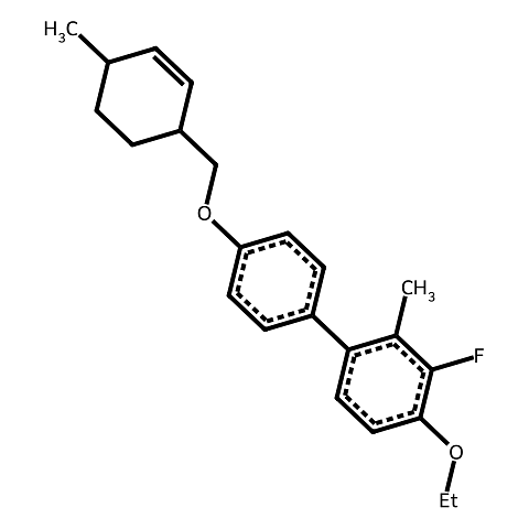 CCOc1ccc(-c2ccc(OCC3C=CC(C)CC3)cc2)c(C)c1F